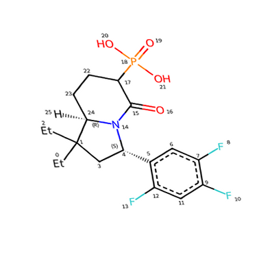 CCC1(CC)C[C@@H](c2cc(F)c(F)cc2F)N2C(=O)C(P(=O)(O)O)CC[C@@H]21